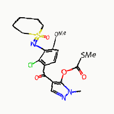 COc1ccc(C(=O)c2cnn(C)c2OC(=O)SC)c(Cl)c1N=S1(=O)CCCCC1